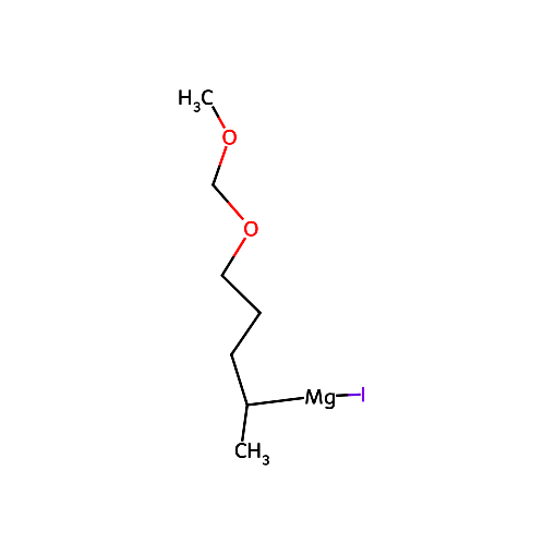 COCOCCC[CH](C)[Mg][I]